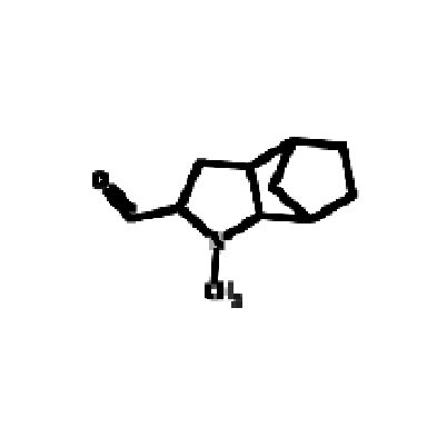 CN1C(C=O)CC2C3CCC(C3)C21